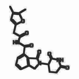 Cc1cc(CC(=O)NC(=O)c2cccc3c2C(=O)N(C2CCC(=O)NC2=O)C3)oc1C